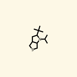 CC(C)N1C2CSCC2CC1C(C)(C)C